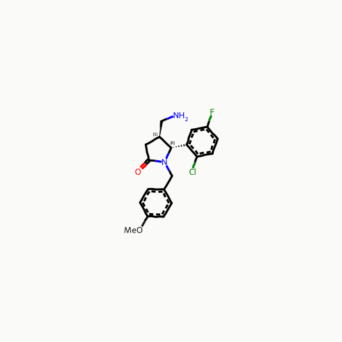 COc1ccc(CN2C(=O)C[C@@H](CN)[C@@H]2c2cc(F)ccc2Cl)cc1